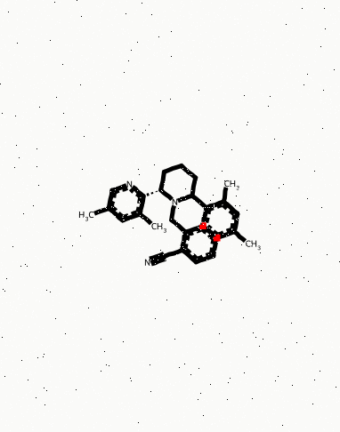 Cc1cnc(C2CCC[C@@H](c3ncc(C)cc3C)N2Cc2ccccc2C#N)c(C)c1